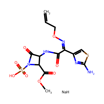 C=CCO/N=C(\C(=O)NC1C(=O)N(S(=O)(=O)O)C1C(=O)OC)c1csc(N)n1.[NaH]